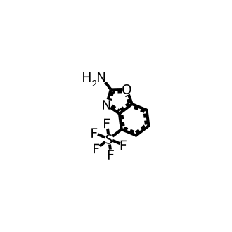 Nc1nc2c(S(F)(F)(F)(F)F)cccc2o1